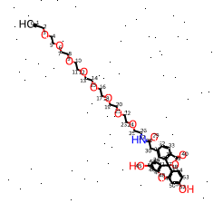 C#CCOCCOCCOCCOCCOCCOCCOCCOCCNC(=O)Cc1ccc2c(c1)C1(OC2=O)c2ccc(O)cc2Oc2cc(O)ccc21